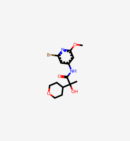 COc1cc(NC(=O)C(C)(O)C2CCOCC2)cc(Br)n1